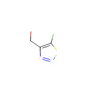 [O]Cc1nnsc1Cl